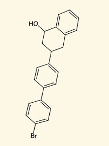 OC1CC(c2ccc(-c3ccc(Br)cc3)cc2)Cc2ccccc21